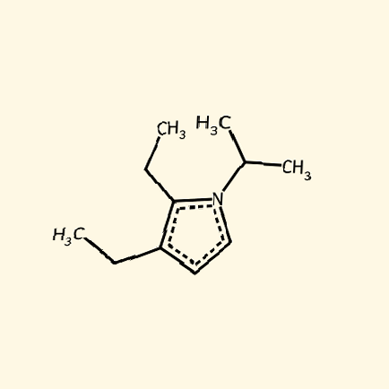 CCc1ccn(C(C)C)c1CC